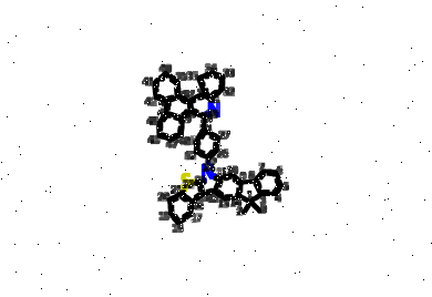 CC1(C)c2ccccc2-c2cc3c(cc21)c1c2ccccc2sc1n3-c1ccc(-c2nc3ccccc3c3c4ccccc4c4ccccc4c23)cc1